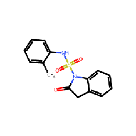 O=C1Cc2ccccc2N1S(=O)(=O)Nc1ccccc1C(F)(F)F